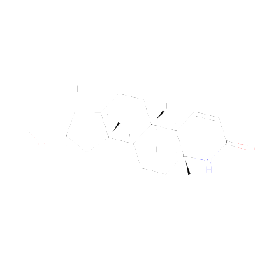 CC(C)O[C@H]1C[C@H]2[C@@H]3CC[C@H]4NC(=O)C=C[C@@H]4[C@H]3CC[C@]2(C)C1